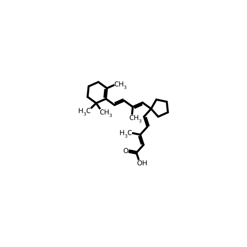 CC1=C(/C=C/C(C)=C/C2(/C=C/C(C)=C/C(=O)O)CCCC2)C(C)(C)CCC1